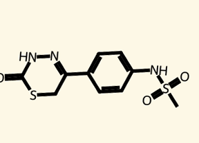 CS(=O)(=O)Nc1ccc(C2=NNC(=O)SC2)cc1